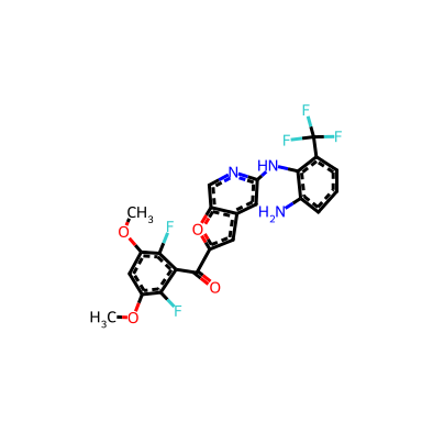 COc1cc(OC)c(F)c(C(=O)c2cc3cc(Nc4c(N)cccc4C(F)(F)F)ncc3o2)c1F